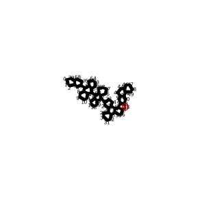 c1ccc2cc(-c3c4ccccc4c(-c4c5ccccc5c(-c5ccc6c(c5)c5ccccc5c5ccc7oc8cc9c(ccc%10ccccc%109)cc8c7c56)c5ccccc45)c4ccccc34)ccc2c1